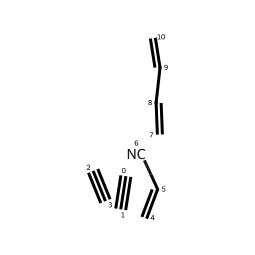 C#C.C#C.C=CC#N.C=CC=C